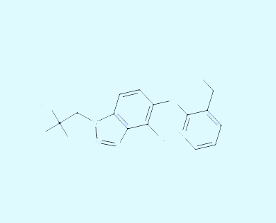 C[C@@H](O)c1cccnc1Oc1ccc2c(nnn2CC(C)(C)C)c1Br